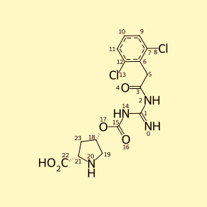 N=C(NC(=O)Cc1c(Cl)cccc1Cl)NC(=O)O[C@@H]1CN[C@H](C(=O)O)C1